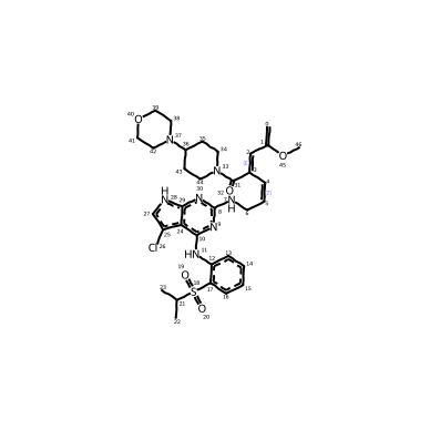 C=C(/C=C(\C=C/CNc1nc(Nc2ccccc2S(=O)(=O)C(C)C)c2c(Cl)c[nH]c2n1)C(=O)N1CCC(N2CCOCC2)CC1)OC